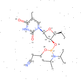 CC[C@@H]1O[C@H](n2cc(C)c(=O)[nH]c2=O)C[C@@H]1OP(OCCC#N)N(C(C)C)C(C)C